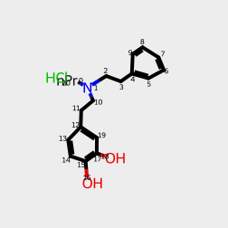 CCCN(CCc1ccccc1)CCc1ccc(O)c(O)c1.Cl